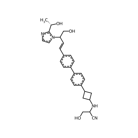 C[C@H](O)c1nccn1C(/C=C/c1ccc(-c2ccc(C3CC(NC(C#N)CO)C3)cc2)cc1)CO